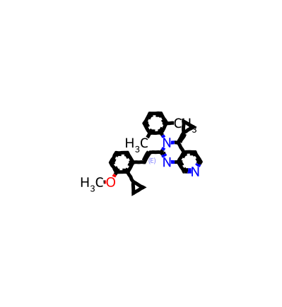 COc1cccc(/C=C/C2=Nc3cnccc3C(=C3CC3)N2c2c(C)cccc2C)c1C1CC1